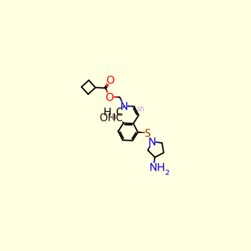 CN(/C=C\c1c(C=O)cccc1SN1CCC(N)C1)COC(=O)C1CCC1